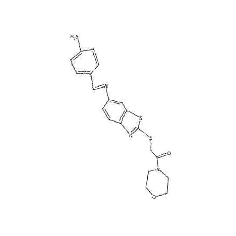 Bc1ccc(/C=N/c2ccc3nc(SCC(=O)N4CCOCC4)sc3c2)cc1